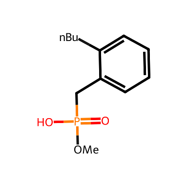 CCCCc1ccccc1CP(=O)(O)OC